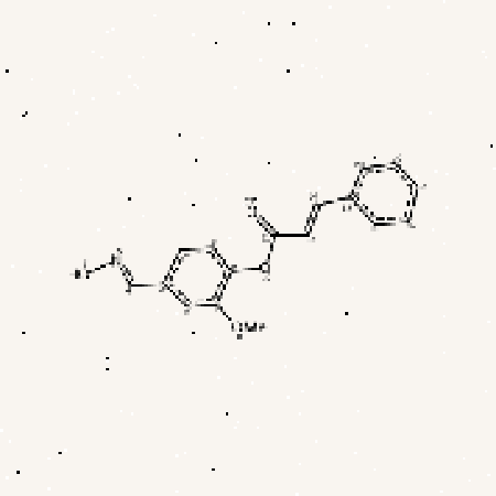 COc1cc(C=NO)ccc1OC(=O)C=Cc1ccccc1